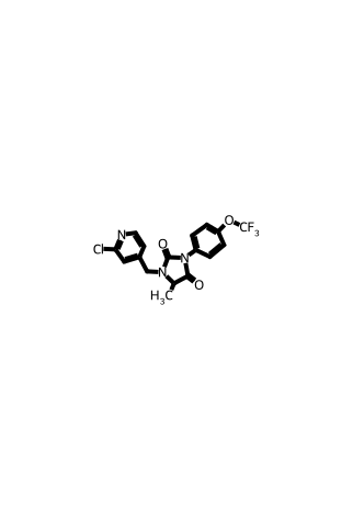 CC1C(=O)N(c2ccc(OC(F)(F)F)cc2)C(=O)N1Cc1ccnc(Cl)c1